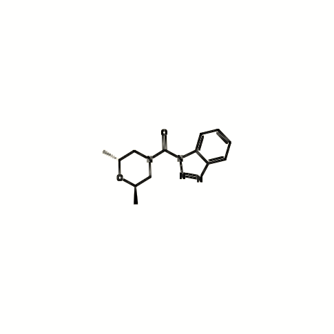 C[C@@H]1CN(C(=O)n2nnc3ccccc32)C[C@@H](C)O1